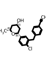 C#Cc1ccc(Cc2cc([C@H]3C[C@@H](O)C[C@@H](C)O3)ccc2Cl)cc1